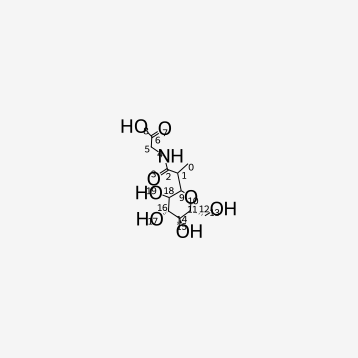 CC(C(=O)NCC(=O)O)C1O[C@H](CO)[C@@H](O)[C@H](O)C1O